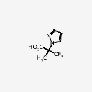 CC(C(=O)O)(n1cccn1)C(F)(F)F